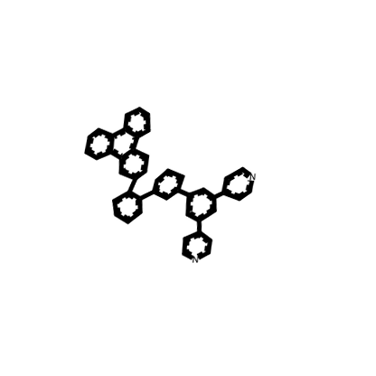 c1cc(-c2cc(-c3ccncc3)cc(-c3ccncc3)c2)cc(-c2ccccc2-c2ccc3c4ccccc4c4ccccc4c3c2)c1